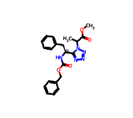 COC(=O)C(C)n1nnnc1[C@H](Cc1ccccc1)NC(=O)OCc1ccccc1